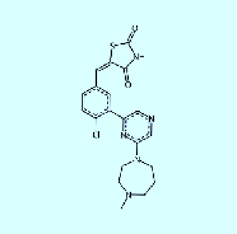 CN1CCCN(c2cncc(-c3cc(C=C4SC(=O)NC4=O)ccc3Cl)n2)CC1